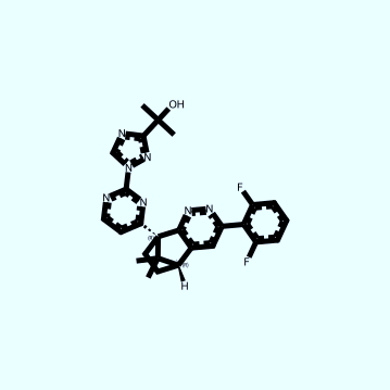 CC(C)(O)c1ncn(-c2nccc([C@]34CC[C@@H](c5cc(-c6c(F)cccc6F)nnc53)C4(C)C)n2)n1